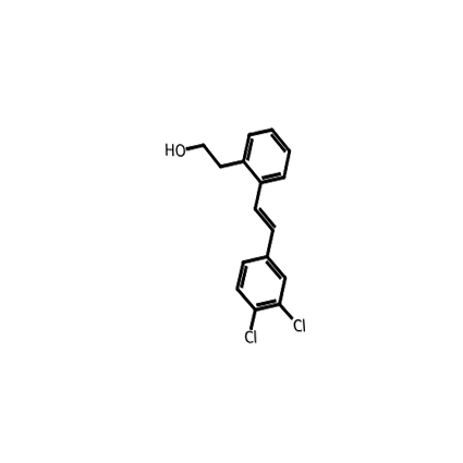 OCCc1ccccc1C=Cc1ccc(Cl)c(Cl)c1